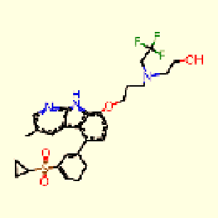 Cc1cnc2[nH]c3c(OCCCN(CCO)CC(F)(F)F)ccc(C4=CC(S(=O)(=O)C5CC5)=CCC4)c3c2c1